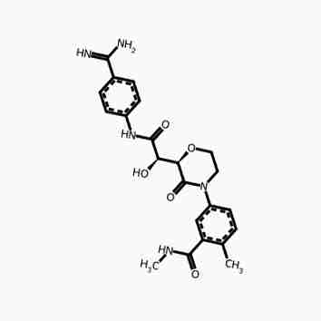 CNC(=O)c1cc(N2CCO[C@H]([C@@H](O)C(=O)Nc3ccc(C(=N)N)cc3)C2=O)ccc1C